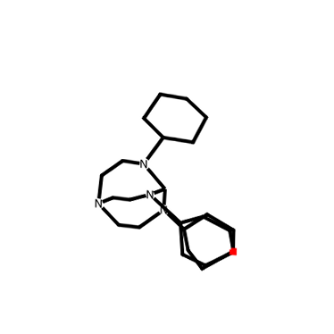 C1CCC(N2CCN3CCN(C4CCCCC4)C2N(C2CCCCC2)CC3)CC1